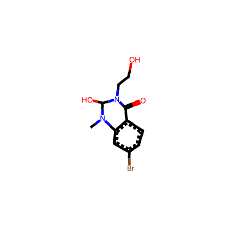 CN1c2cc(Br)ccc2C(=O)N(CCO)C1O